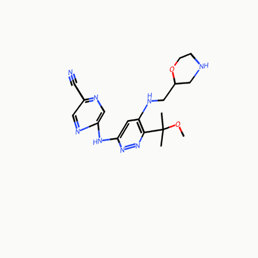 COC(C)(C)c1nnc(Nc2cnc(C#N)cn2)cc1NCC1CNCCO1